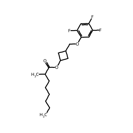 CCCCCCC(C)C(=O)OC1CC(COc2cc(F)c(F)cc2F)C1